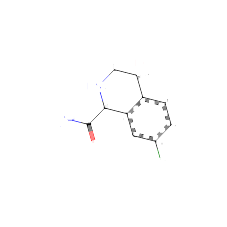 NC(=O)C1NCCc2ccc(Cl)cc21.O